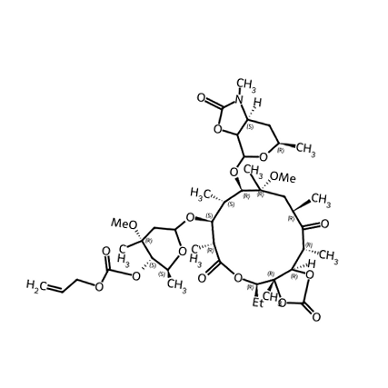 C=CCOC(=O)O[C@H]1[C@H](C)OC(O[C@H]2[C@H](C)[C@@H](OC3O[C@H](C)C[C@H]4C3OC(=O)N4C)[C@](C)(OC)C[C@@H](C)C(=O)[C@H](C)[C@H]3OC(=O)O[C@]3(C)[C@@H](CC)OC(=O)[C@@H]2C)C[C@@]1(C)OC